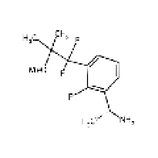 COC(C)(C)C(F)(F)c1cccc([C@@H](C)N)c1F